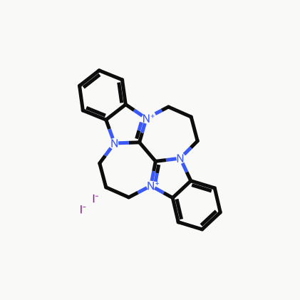 [I-].[I-].c1ccc2c(c1)n1c3[n+]2CCCn2c-3[n+](c3ccccc32)CCC1